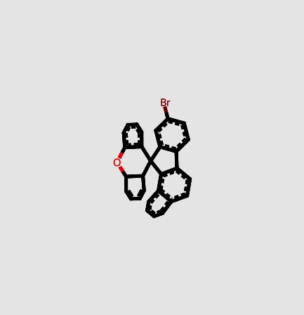 Brc1ccc2c(c1)C1(c3ccccc3OC3C=CC=CC31)c1c-2ccc2ccccc12